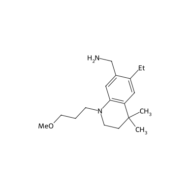 CCc1cc2c(cc1CN)N(CCCOC)CCC2(C)C